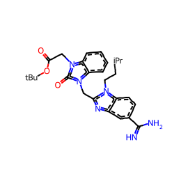 CC(C)CCn1c(Cn2c(=O)n(CC(=O)OC(C)(C)C)c3ccccc32)nc2cc(C(=N)N)ccc21